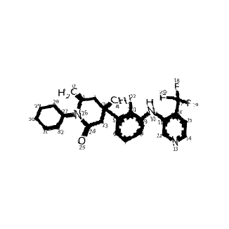 C=C1CC(C)(c2cccc(Nc3cnccc3C(F)(F)F)c2I)CC(=O)N1C1CCCCC1